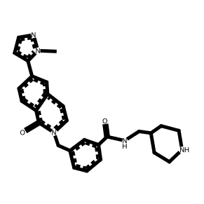 Cn1nccc1-c1ccc2c(=O)n(Cc3cccc(C(=O)NCC4CCNCC4)c3)ccc2c1